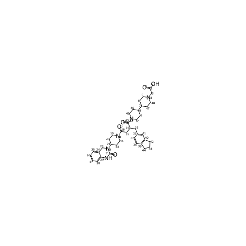 O=C(O)CN1CCC(C2CCN(C(=O)C(CC(=O)N3CCC(N4Cc5ccccc5NC4=O)CC3)Cc3ccc4c(c3)CCC4)CC2)CC1